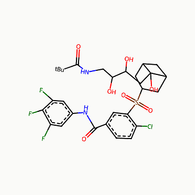 CC(C)(C)C(=O)NCC(O)C(O)CC1(O)C2CC1CC(S(=O)(=O)c1cc(C(=O)Nc3cc(F)c(F)c(F)c3)ccc1Cl)C2